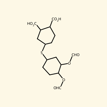 O=COC1CCC(SC2CCC(C(=O)O)C(C(=O)O)C2)CC1OC=O